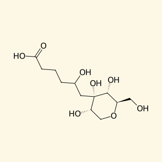 O=C(O)CCCC(O)C[C@@]1(O)[C@H](O)[C@@H](CO)OC[C@@H]1O